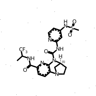 CC(NC(=O)c1ccc2c(n1)N(C(=O)Nc1cc(NS(C)(=O)=O)ccn1)[C@H]1CCN2C1)C(F)(F)F